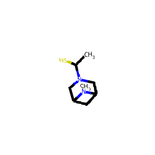 CC(S)N1CC2CC(C1)N2C